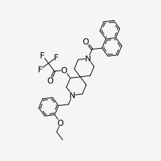 CCOc1ccccc1CN1CCC2(CCN(C(=O)c3cccc4ccccc34)CC2)C(OC(=O)C(F)(F)F)C1